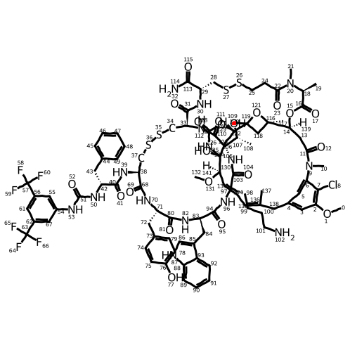 COc1cc2cc(c1Cl)N(C)C(=O)C[C@H](OC(=O)[C@H](C)N(C)C(=O)CCSSC[C@H](NC(=O)[C@@H]1CSSC[C@H](NC(=O)[C@@H](Cc3ccccc3)NC(=O)Nc3cc(C(F)(F)F)cc(C(F)(F)F)c3)C(=O)N[C@@H](Cc3ccc(O)cc3)C(=O)N[C@H](Cc3c[nH]c4ccccc34)C(=O)N[C@@H](CCCCN)C(=O)N[C@@H]([C@@H](C)O)C(=O)N1)C(N)=O)[C@@]1(C)CC(C)(O1)[C@@H]1C[C@@](O)(NC(=O)O1)[C@H](OC)/C=C/C=C(\C)C2